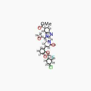 COC(=O)c1ccc2nc(CN3CCC(c4cccc5c4OC(C)(c4ccc(Cl)cc4F)O5)=CC3=O)n(C[C@@H]3CCO3)c2c1